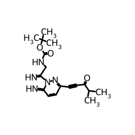 CC(C)C(=O)C#Cc1ccc(=N)n(C(=N)CNC(=O)OC(C)(C)C)n1